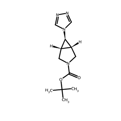 CC(C)(C)OC(=O)N1C[C@@H]2[C@H](C1)[C@H]2n1cnnc1